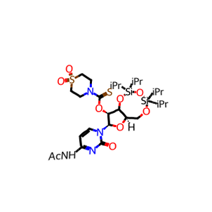 CC(=O)Nc1ccn([C@@H]2O[C@@H]3CO[Si](C(C)C)(C(C)C)O[Si](C(C)C)(C(C)C)OC3[C@@H]2OC(=S)N2CCS(=O)(=O)CC2)c(=O)n1